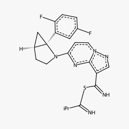 CC(C)C(=N)SC(=N)c1cnn2ccc(N3CC[C@H]4C[C@]43c3cc(F)ccc3F)nc12